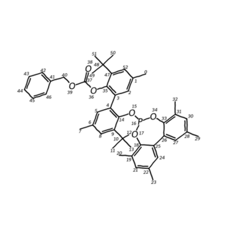 Cc1cc(-c2cc(C)cc(C(C)(C)C)c2Op2oc3c(C)cc(C)cc3c3cc(C)cc(C)c3o2)c(OC(=O)OCc2ccccc2)c(C(C)(C)C)c1